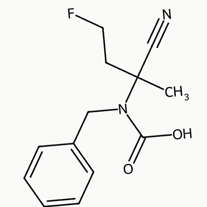 CC(C#N)(CCF)N(Cc1ccccc1)C(=O)O